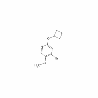 COc1cnc(OC2COC2)cc1Br